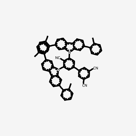 Cc1ccccc1-c1ccc2c3ccc(-c4ccccc4C)cc3n(-c3cc(-c4cc(C#N)cc(C#N)c4)cc(-n4c5cc(-c6ccccc6C)ccc5c5ccc(-c6ccccc6C)cc54)c3C#N)c2c1